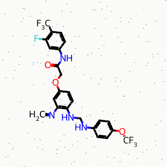 C=Nc1cc(OCC(=O)Nc2ccc(C(F)(F)F)c(F)c2)ccc1NCNc1ccc(OC(F)(F)F)cc1